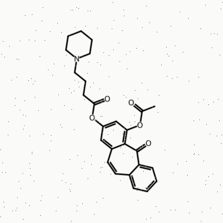 CC(=O)Oc1cc(OC(=O)CCCN2CCCCC2)cc2ccc3ccccc3c(=O)c12